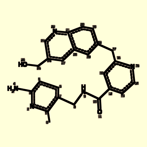 Cc1nc(N)ccc1CNC(=O)c1ccnc(Cc2ccc3ncc(CO)cc3c2)c1